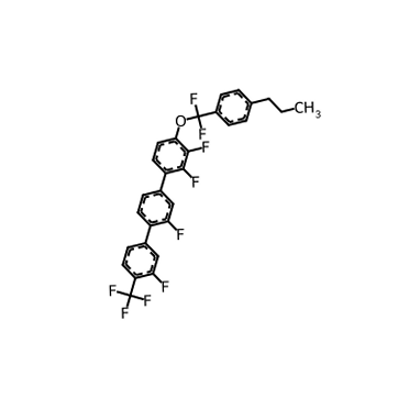 CCCc1ccc(C(F)(F)Oc2ccc(-c3ccc(-c4ccc(C(F)(F)F)c(F)c4)c(F)c3)c(F)c2F)cc1